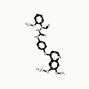 COc1cc2nccc(Oc3ccc(NC(=O)NN(C=O)c4ccccc4SC)cc3)c2cc1OC